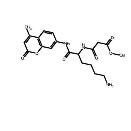 Cc1cc(=O)oc2cc(NC(=O)C(CCCCN)NC(=O)CC(=O)OC(C)(C)C)ccc12